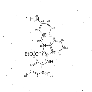 CCOC(=O)c1c(Nc2ccc(I)cc2F)c2cnccc2n1Cc1cccc(N)c1